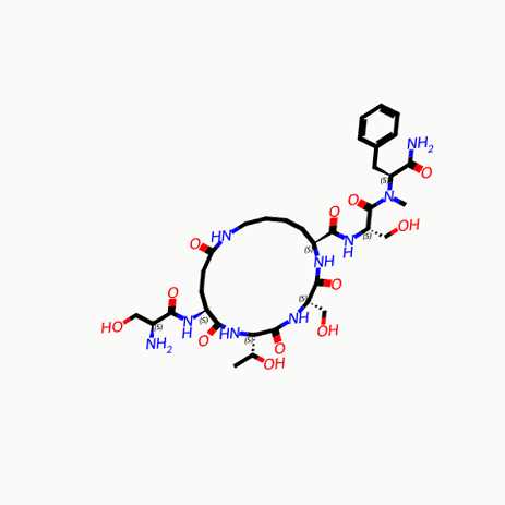 CC(O)[C@@H]1NC(=O)[C@@H](NC(=O)[C@@H](N)CO)CCC(=O)NCCCC[C@@H](C(=O)N[C@@H](CO)C(=O)N(C)[C@@H](Cc2ccccc2)C(N)=O)NC(=O)[C@H](CO)NC1=O